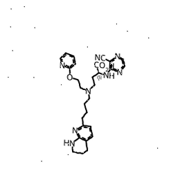 N#Cc1nccnc1N[C@@H](CCN(CCCCc1ccc2c(n1)NCCC2)CCOc1ccccn1)C(=O)O